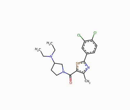 CCN(CC)C1CCN(C(=O)c2sc(-c3ccc(Cl)c(Cl)c3)nc2C)C1